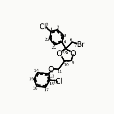 Clc1ccc(C2(CBr)OCC(COc3ccccc3Cl)O2)cc1